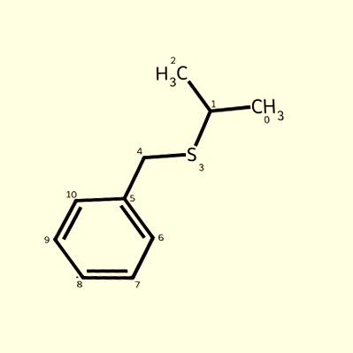 CC(C)SCc1cc[c]cc1